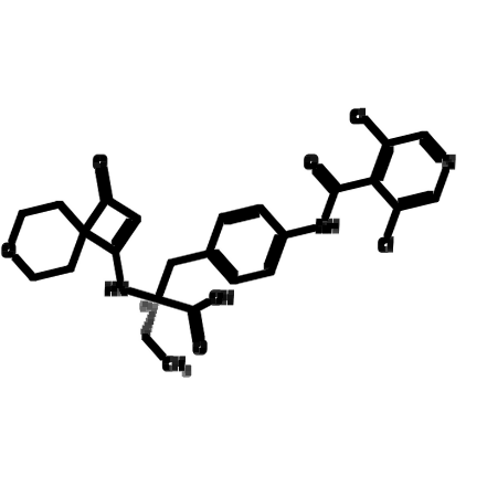 CC[C@@](Cc1ccc(NC(=O)c2c(Cl)cncc2Cl)cc1)(NC1=CC(=O)C12CCOCC2)C(=O)O